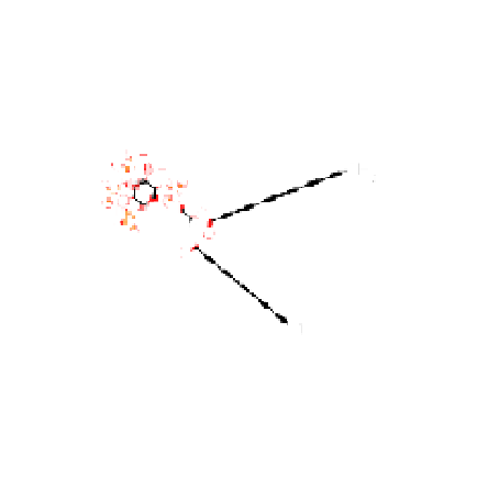 CC#CC#CC#CC#CC#CC#CC(=O)O[C@H](COC(=O)C#CC#CC#CC#CC#CC)COP(=O)(O)OC1C(O)[C@@H](OP(=O)(O)O)C(OP(=O)(O)O)[C@@H](OP(=O)(O)O)[C@H]1O